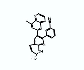 Cc1cc(-c2cc3c(nc2-c2cccc(C#N)c2)NC(O)C=C3)cc2cccnc12